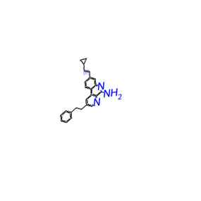 Nc1nc2cc(/C=C/C3CC3)ccc2c2cc(CCc3ccccc3)cnc12